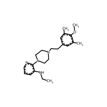 CCNc1cccnc1N1CCN(CCc2cc(C)c(OC)c(C)c2)CC1